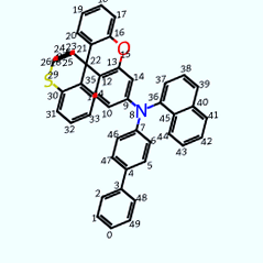 c1ccc(-c2ccc(N(c3ccc4c(c3)Oc3ccccc3C43c4ccccc4Sc4ccccc43)c3cccc4ccccc34)cc2)cc1